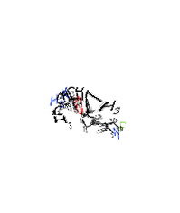 Cc1cc(-c2ccnc(F)c2)ccc1OCC(C)(N)CC(C)C